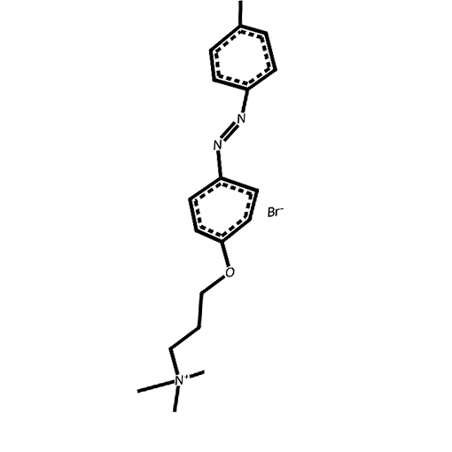 CCCCc1ccc(N=Nc2ccc(OCCC[N+](C)(C)C)cc2)cc1.[Br-]